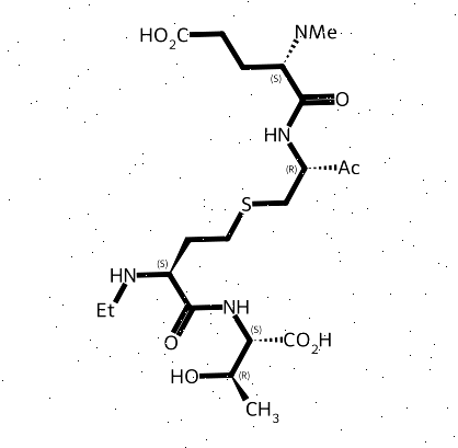 CCN[C@@H](CCSC[C@H](NC(=O)[C@H](CCC(=O)O)NC)C(C)=O)C(=O)N[C@H](C(=O)O)[C@@H](C)O